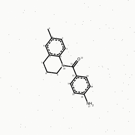 Cc1ccc2c(c1)CCCN2C(=O)c1ccc(N)cc1